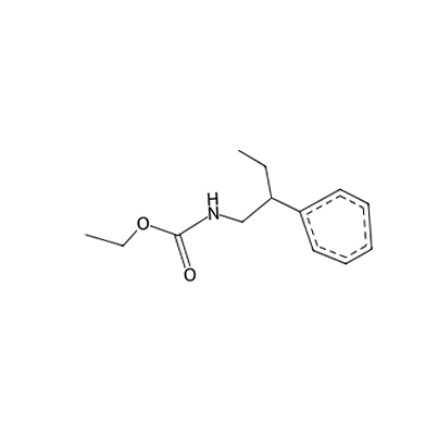 CCOC(=O)NCC(CC)c1ccccc1